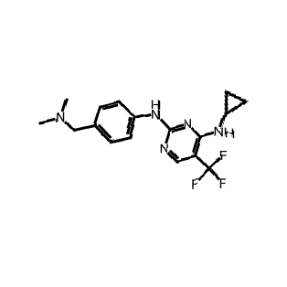 CN(C)Cc1ccc(Nc2ncc(C(F)(F)F)c(NC3CC3)n2)cc1